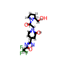 O=C(Cn1ccc(-c2noc(C(F)(F)F)n2)cc1=O)N1CCCC1CO